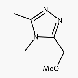 COCc1nnc(C)n1C